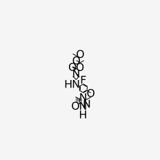 CC(=O)OC(C)OC(=O)N1CC(Nc2cc3c(cc2F)OCC2=NNC(=O)[C@@H](C)N23)C1